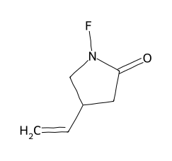 C=CC1CC(=O)N(F)C1